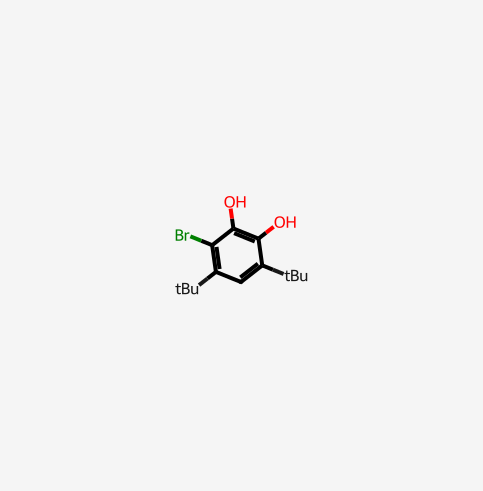 CC(C)(C)c1cc(C(C)(C)C)c(Br)c(O)c1O